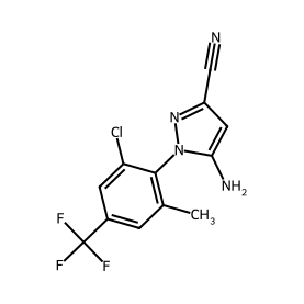 Cc1cc(C(F)(F)F)cc(Cl)c1-n1nc(C#N)cc1N